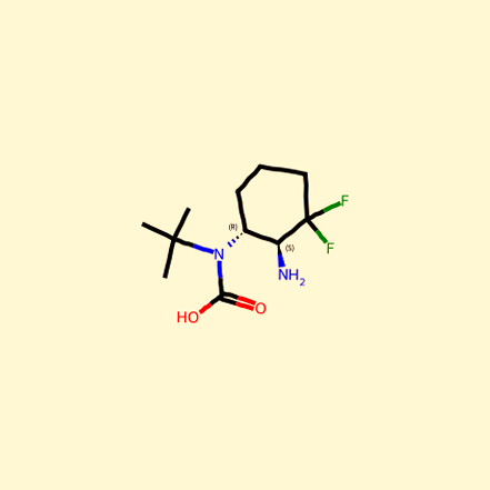 CC(C)(C)N(C(=O)O)[C@@H]1CCCC(F)(F)[C@H]1N